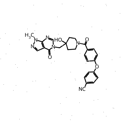 Cn1ncc2c(=O)n(CC3(O)CCN(C(=O)c4ccc(Oc5ccc(C#N)cc5)cc4)CC3)cnc21